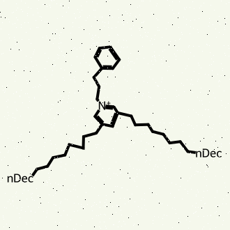 CCCCCCCCCCCCCCCCCCc1cc(CCCCCCCCCCCCCCCCCC)c[n+](CCCc2ccccc2)c1